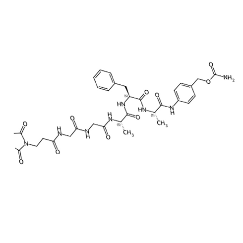 C[C@H](NC(=O)CNC(=O)CNC(=O)CCN1C(=O)C=CC1=O)C(=O)N[C@@H](Cc1ccccc1)C(=O)N[C@@H](C)C(=O)Nc1ccc(COC(N)=O)cc1